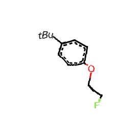 CC(C)(C)c1ccc(OCCF)cc1